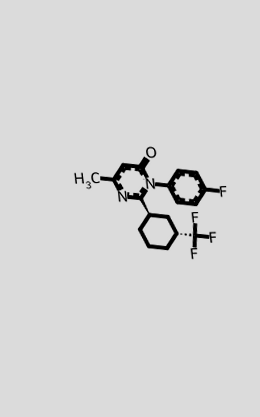 Cc1cc(=O)n(-c2ccc(F)cc2)c([C@@H]2CCC[C@@H](C(F)(F)F)C2)n1